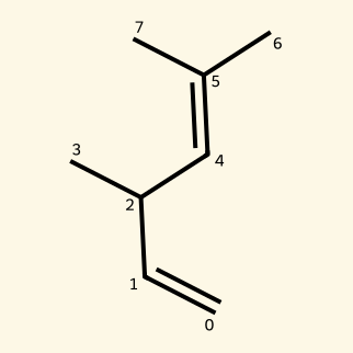 C=CC(C)C=C(C)C